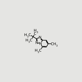 Cc1cc(C)n2nc(C(C)(C)C)nc2c1